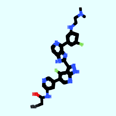 CN(C)CCNc1cc(F)cc(-c2nccc3[nH]c(-c4n[nH]c5ncc(-c6cncc(NC(O)CC(C)(C)C)c6)c(F)c45)nc23)c1